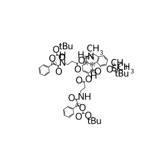 CN1CC[C@]23c4c5ccc(O[Si](C)(C)C(C)(C)C)c4O[C@H]2C(OC(=O)CCNC(=O)[C@@H](OC(=O)OC(C)(C)C)c2ccccc2)=CC[C@@]3(OC(=O)CCNC(=O)[C@@H](OC(=O)OC(C)(C)C)c2ccccc2)[C@H]1C5